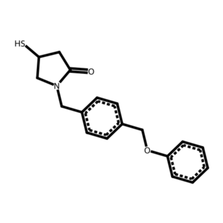 O=C1CC(S)CN1Cc1ccc(COc2ccccc2)cc1